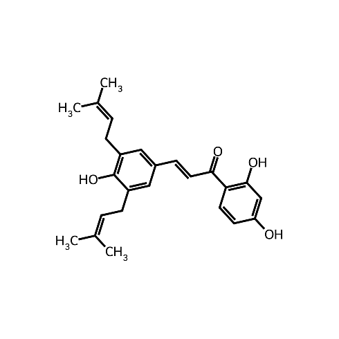 CC(C)=CCc1cc(/C=C/C(=O)c2ccc(O)cc2O)cc(CC=C(C)C)c1O